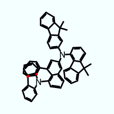 CC1(C)c2ccccc2-c2ccc(N(c3cc(-c4ccccc4)c4c(-n5c6ccccc6c6ccccc65)cccc4c3)c3cccc4c3-c3ccccc3C4(C)C)cc21